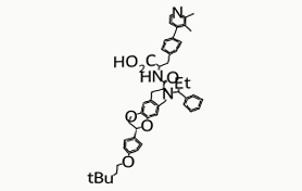 CC[C@@H](c1ccccc1)N1Cc2cc3c(cc2C[C@H]1C(=O)NC(Cc1ccc(-c2ccnc(C)c2C)cc1)C(=O)O)OC[C@H](c1ccc(OCCC(C)(C)C)cc1)O3